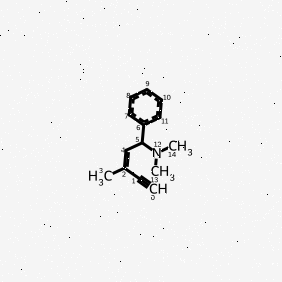 C#CC(C)=CC(c1ccccc1)N(C)C